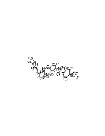 CN1C(=O)c2cc(NC(=O)c3ccc(C(F)(F)F)cc3)ccc2OC[C@@H]2O[C@H](CNC(=O)C3CCCC3)CC[C@@H]21